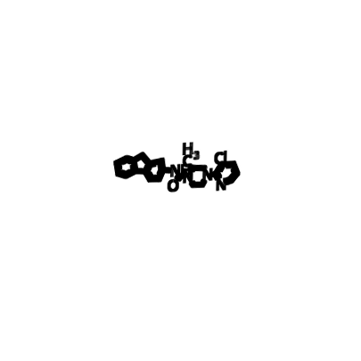 C[C@@H]1CN(c2ncccc2Cl)CCN1C(=O)Nc1ccc2c(c1)Cc1ccccc1-2